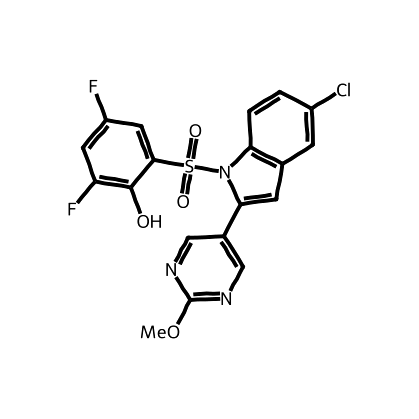 COc1ncc(-c2cc3cc(Cl)ccc3n2S(=O)(=O)c2cc(F)cc(F)c2O)cn1